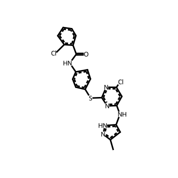 Cc1cc(Nc2cc(Cl)nc(Sc3ccc(NC(=O)c4ccccc4Cl)cc3)n2)[nH]n1